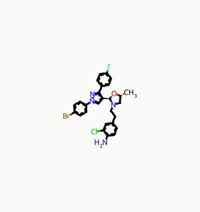 C[C@@H]1CN(CCc2ccc(N)c(Cl)c2)[C@@H](c2cn(-c3ccc(Br)cc3)nc2-c2ccc(F)cc2)O1